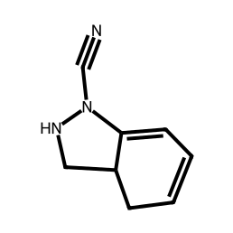 N#CN1NCC2CC=CC=C21